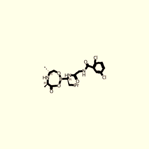 CC(C)C[C@H](NC(=O)CNC(=O)c1cc(Cl)ccc1Cl)B1OC[C@@H](C)N[C@H](C)C(=O)O1